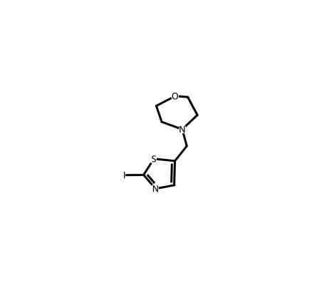 Ic1ncc(CN2CCOCC2)s1